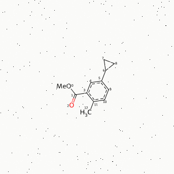 COC(=O)c1cc(C2CC2)ccc1C